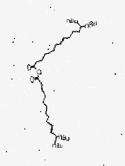 CCCCC(CCCC)CCCCCCCCCCC(=O)OC(=O)CCCCCCCCCCC(CCCC)CCCC